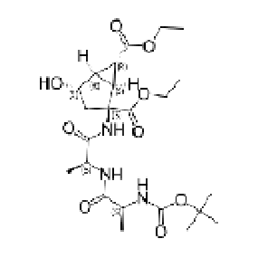 CCOC(=O)[C@H]1[C@H]2[C@@H]1[C@](NC(=O)[C@H](C)NC(=O)[C@H](C)NC(=O)OC(C)(C)C)(C(=O)OCC)C[C@@H]2O